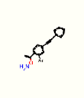 C=C(ON)c1ccc(C#Cc2ccccc2)cc1C(C)=O